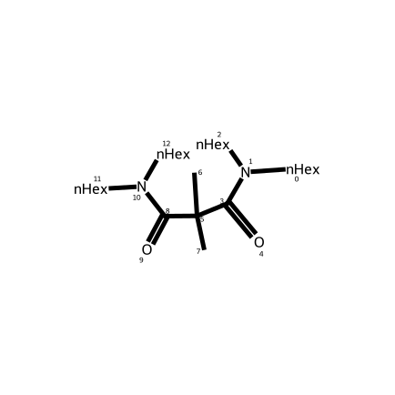 CCCCCCN(CCCCCC)C(=O)C(C)(C)C(=O)N(CCCCCC)CCCCCC